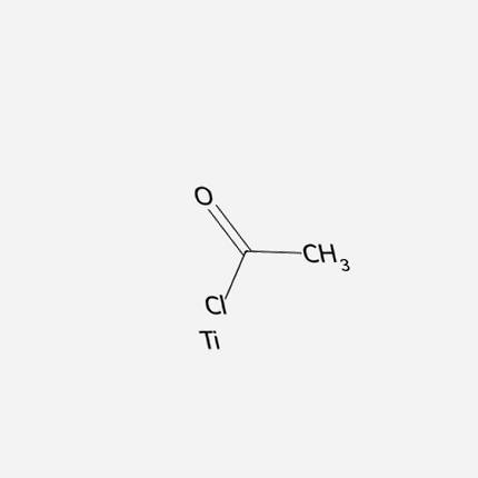 CC(=O)Cl.[Ti]